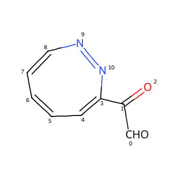 O=CC(=O)C1=CC=CC=CN=N1